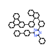 c1ccc(-c2ccc(-c3nc(-c4ccccc4)nc(-c4cccc(-c5ccc6ccccc6c5-c5cccc(-c6ccc7c8ccccc8c8ccccc8c7c6)c5)c4)n3)cc2)cc1